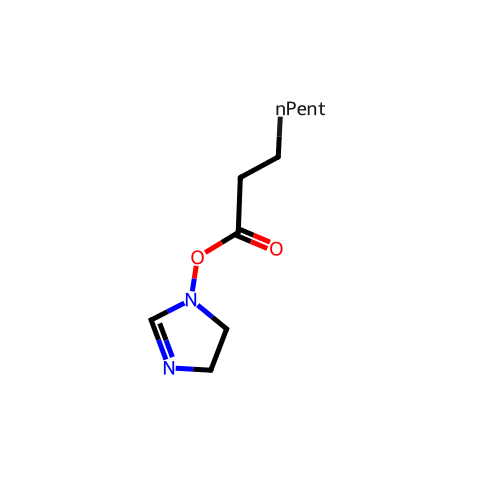 CCCCCCCC(=O)ON1C=NCC1